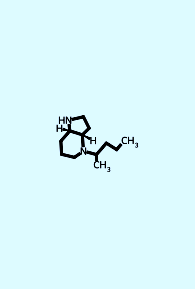 CCCC(C)N1CCC[C@@H]2NCC[C@@H]21